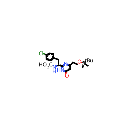 CC(C)(C)[Si](C)(C)OCCc1cc(=O)[nH]c([C@H](Cc2ccc(Cl)cc2)NC(=O)O)n1